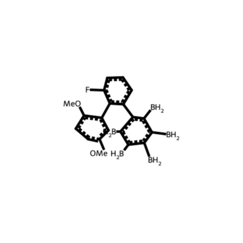 Bc1c(B)c(B)c(-c2cccc(F)c2-c2cc(OC)ccc2OC)c(B)c1B